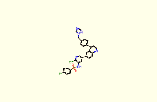 O=S(=O)(Nc1cc(-c2ccc3nccc(-c4ccc(Cn5cncn5)cc4)c3c2)cnc1Cl)c1ccc(F)cc1